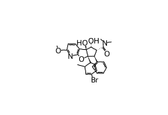 COc1ccc2c(n1)O[C@@]1(C3C=CC(Br)=CC3C)[C@H](c3ccccc3)[C@@H](C(=O)N(C)C)[C@@H](O)[C@@]21O